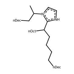 CCCCCCCCCCCCCCC(CCCCCCCC)c1[nH]cc[n+]1C(C)CCCCCCCCCCC